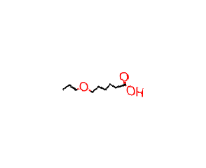 CCCOCCCCCC(=O)O